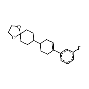 Fc1cccc(C2=CCC(C3CCC4(CC3)OCCO4)CC2)c1